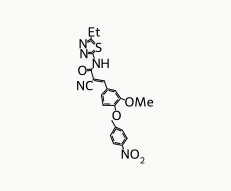 CCc1nnc(NC(=O)/C(C#N)=C/c2ccc(OCc3ccc([N+](=O)[O-])cc3)c(OC)c2)s1